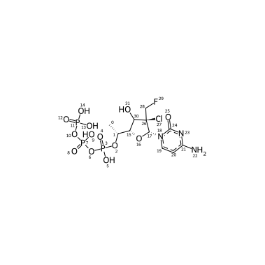 C[C@@H](OP(=O)(O)OP(=O)(O)OP(=O)(O)O)[C@H]1O[C@@H](n2ccc(N)nc2=O)[C@@](Cl)(CF)C1O